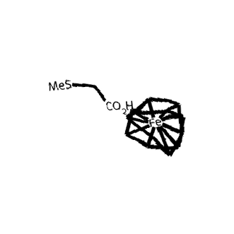 CSCC(=O)O.[CH]12[CH]3[CH]4[CH]5[CH]1[Fe]23451678[CH]2[CH]1[CH]6[CH]7[CH]28